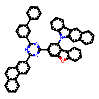 c1ccc(-c2cccc(-c3nc(-c4ccc5c(ccc6ccccc65)c4)nc(-c4cc(-n5c6ccccc6c6cc7ccccc7cc65)c5c(c4)oc4ccccc45)n3)c2)cc1